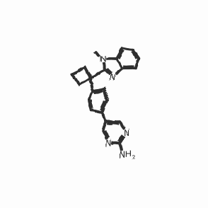 Cn1c(C2(c3ccc(-c4cnc(N)nc4)cc3)CCC2)nc2ccccc21